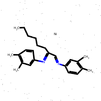 CCCCCCC(C=Nc1ccc(C)c(C)c1)=Nc1ccc(C)c(C)c1.[Ni]